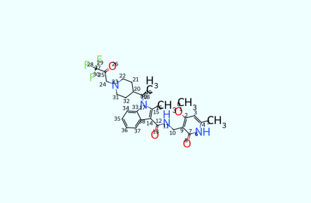 COc1cc(C)[nH]c(=O)c1CNC(=O)c1c(C)n([C@H](C)C2CCN(CC(=O)C(F)(F)F)CC2)c2ccccc12